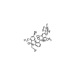 Cc1cc(C#N)ccc1C(=O)N(CC1CC1)c1cccc(C(=O)Nc2c(C)cc(C(F)(C(F)(F)F)C(F)(F)F)cc2Cl)c1F